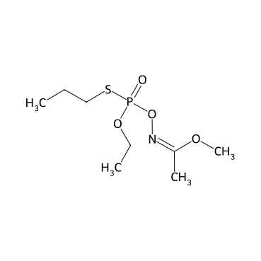 CCCSP(=O)(OCC)ON=C(C)OC